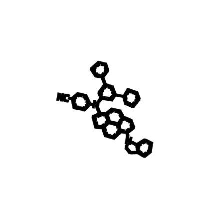 N#Cc1ccc(N(c2cc(-c3ccccc3)cc(-c3ccccc3)c2)c2ccc3ccc4c(N5CCc6ccccc65)ccc5ccc2c3c54)cc1